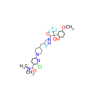 COc1cccc(C(O)(C(=O)NC[C@@H](F)CC2CCN(c3ccc(C(=O)N(C)C)c(Cl)n3)CC2)C(F)(F)F)c1